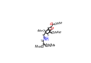 COC(=O)c1cc2c(OC)c(CNCC(OC)OC)cc(OC)c2o1